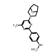 O=C(O)Nc1ccc(-c2nc(N3CC4CCC(C3)O4)cc(C(F)(F)F)n2)cc1